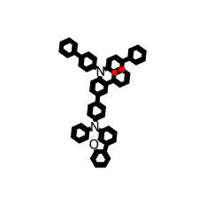 c1ccc(-c2ccc(N(c3ccc(-c4ccccc4)cc3)c3ccc(-c4ccc(N(c5ccccc5)c5cccc6c5oc5ccccc56)cc4)cc3-c3ccccc3)cc2)cc1